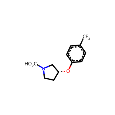 O=C(O)N1CC[C@@H](Oc2ccc(C(F)(F)F)cc2)C1